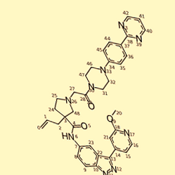 C=CCC1(C(=O)Nc2ccc3[nH]nc(-c4ccnc(OC)c4)c3c2)CCN(CC(=O)N2CCN(c3ccc(-c4ncccn4)cc3)CC2)C1